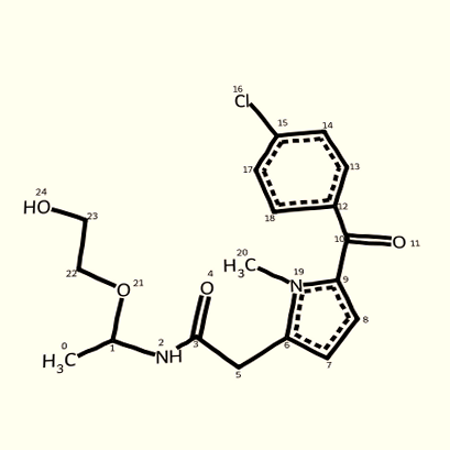 CC(NC(=O)Cc1ccc(C(=O)c2ccc(Cl)cc2)n1C)OCCO